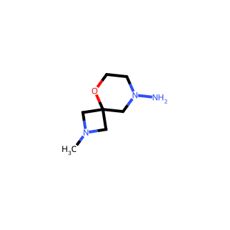 CN1CC2(C1)CN(N)CCO2